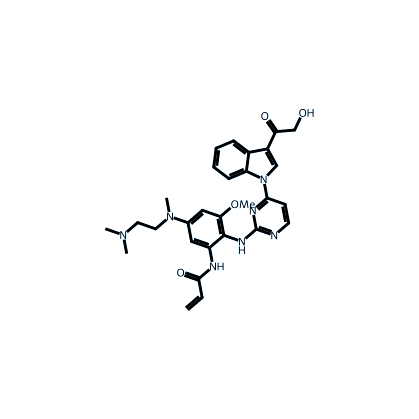 C=CC(=O)Nc1cc(N(C)CCN(C)C)cc(OC)c1Nc1nccc(-n2cc(C(=O)CO)c3ccccc32)n1